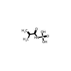 C=C(C)C(=O)NP(=O)(O)O